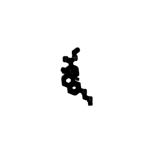 CCOC(=O)C1C[C@]2(C)C3Cc4ccc(OCOC)cc4[C@]2(C)CC1N3C